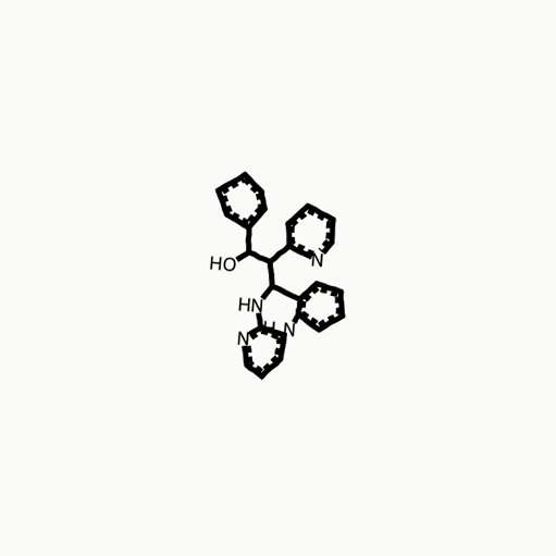 Nc1ccccc1C(Nc1ccccn1)C(c1ccccn1)C(O)c1ccccc1